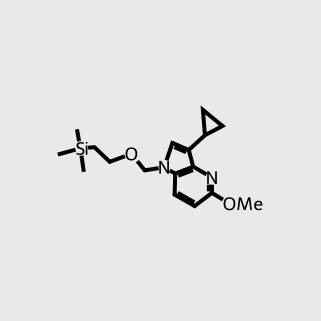 COc1ccc2c(n1)c(C1CC1)cn2COCC[Si](C)(C)C